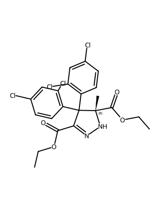 CCOC(=O)C1=NN[C@@](C)(C(=O)OCC)C1(c1ccc(Cl)cc1Cl)c1ccc(Cl)cc1Cl